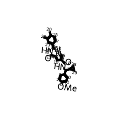 COc1ccc(C(NC(=O)c2cc3c(=O)[nH]c(-c4ccc(C)c(C)c4)nn3c2)C2CC2)cc1